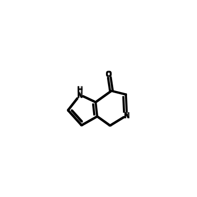 O=C1C=NCc2cc[nH]c21